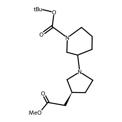 COC(=O)C[C@@H]1CCN(C2CCCN(C(=O)OC(C)(C)C)C2)C1